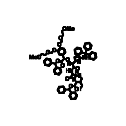 COCCOCOc1ccc(C(ON=C(C(=O)NC2C(=O)N3C(C(=O)OC(c4ccccc4)c4ccccc4)=C(CI)CS[C@@H]23)c2csc(NC(c3ccccc3)(c3ccccc3)c3ccccc3)n2)C(=O)OC(c2ccccc2)c2ccccc2)cc1OCOCCOC